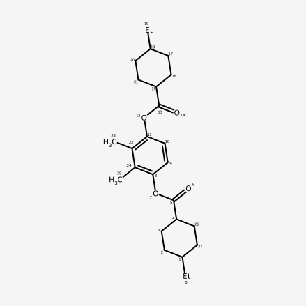 CCC1CCC(C(=O)Oc2ccc(OC(=O)C3CCC(CC)CC3)c(C)c2C)CC1